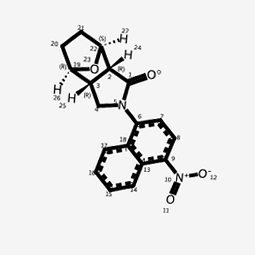 O=C1[C@@H]2[C@H](CN1c1ccc([N+](=O)[O-])c3ccccc13)[C@H]1CC[C@@H]2O1